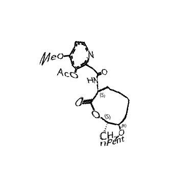 CCCCCO[C@@H]1CCCC[C@H](NC(=O)c2nccc(OC)c2OC(C)=O)C(=O)O[C@H]1C